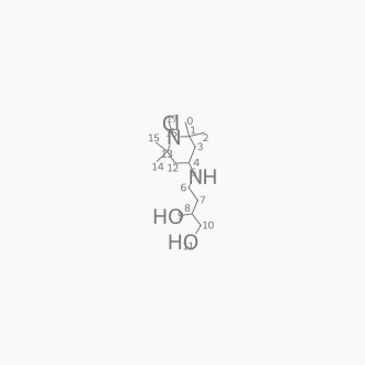 CC1(C)CC(NCCC(O)CO)CC(C)(C)N1Cl